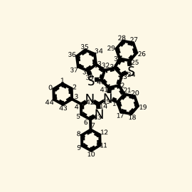 c1ccc(-c2cc(-c3ccccc3)nc(-n3c4ccccc4c4c5sc6ccccc6c5c5c6ccccc6sc5c43)n2)cc1